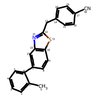 Cc1ccccc1-c1ccc2sc(Cc3ccc(C#N)cc3)nc2c1